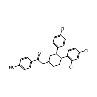 N#Cc1ccc(C(=O)CN2CCN(c3ccc(Cl)cc3Cl)[C@H](c3ccc(Cl)cc3)C2)cc1